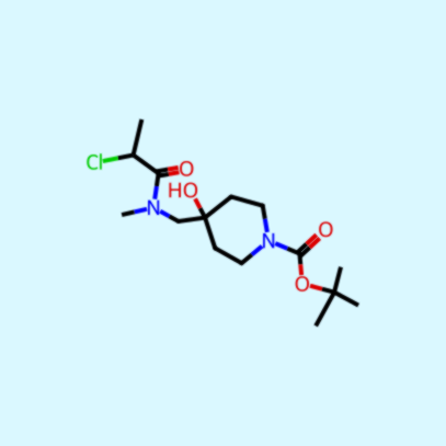 CC(Cl)C(=O)N(C)CC1(O)CCN(C(=O)OC(C)(C)C)CC1